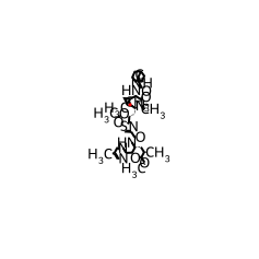 COC(=O)[C@@H](C)C[C@H](Cc1ncc(C)cn1)NC(=O)c1csc([C@@H](C[C@H](C(C)C)N(C)C(=O)[C@@H](NC(=O)[C@H]2CC3CCN2CC3)C2CC2)OC(C)=O)n1